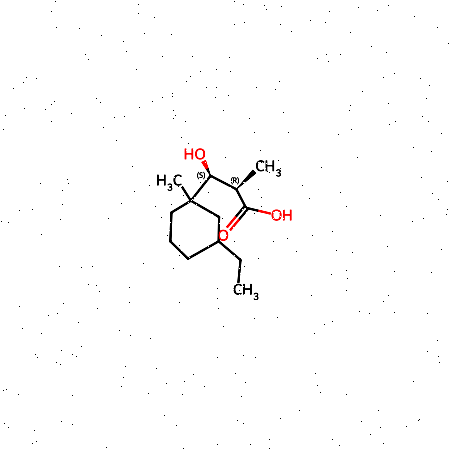 CCC1CCCC(C)([C@@H](O)[C@@H](C)C(=O)O)C1